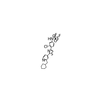 O=S(=O)(Nc1ccc(-c2csc(-c3ccnc(CC4CCCCC4)c3)n2)c(Cl)c1)C(F)(F)F